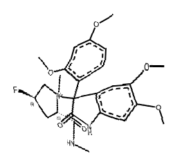 CNC(=O)[C@@H]1C[C@@H](F)C[N+]1(C)C1(c2ccc(OC)cc2OC)C(=O)Nc2cc(OC)c(OC)cc21